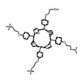 CCCCCCCCCCCCOc1ccc(-c2c3nc(c(-c4ccc(OCCC[N+](C)(C)C)cc4)c4ccc([nH]4)c(-c4ccc(OCCC[N+](C)(C)C)cc4)c4nc(c(-c5ccc(OCCCN(C)C)cc5)c5ccc2[nH]5)C=C4)C=C3)cc1